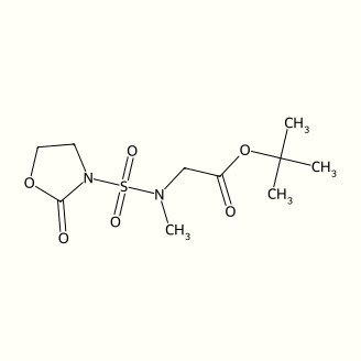 CN(CC(=O)OC(C)(C)C)S(=O)(=O)N1CCOC1=O